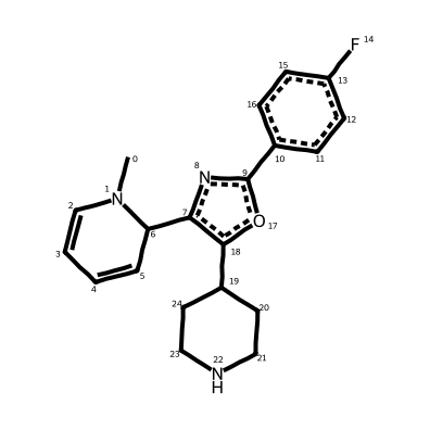 CN1C=CC=CC1c1nc(-c2ccc(F)cc2)oc1C1CCNCC1